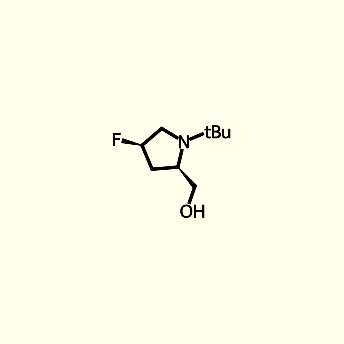 CC(C)(C)N1C[C@H](F)C[C@@H]1CO